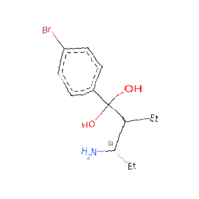 CCC([C@@H](N)CC)C(O)(O)c1ccc(Br)cc1